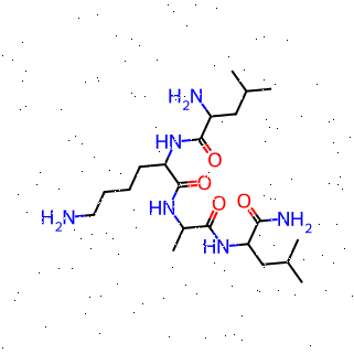 CC(C)CC(N)C(=O)NC(CCCCN)C(=O)NC(C)C(=O)NC(CC(C)C)C(N)=O